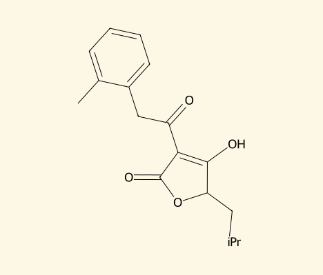 Cc1ccccc1CC(=O)C1=C(O)C(CC(C)C)OC1=O